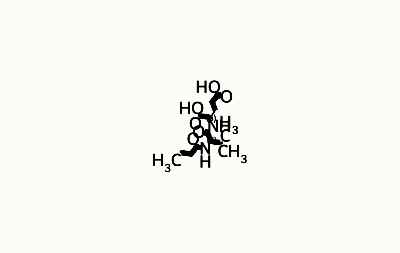 CCCC(=O)N[C@H](C(=O)N[C@@H](CCC(=O)O)C(=O)O)C(C)C